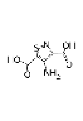 Nc1c(C(=O)O)nsc1C(=O)O